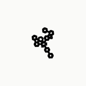 c1ccc(-c2ccc(-c3nc(-c4ccc5c(c4)oc4cccc(-c6ccccc6)c45)nc(-c4cccc5c4C4(CCCCC4)c4ccccc4-5)n3)cc2)cc1